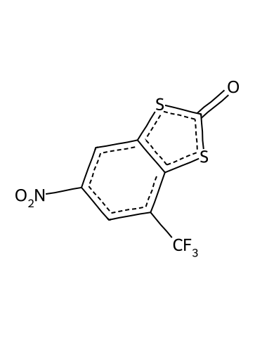 O=c1sc2cc([N+](=O)[O-])cc(C(F)(F)F)c2s1